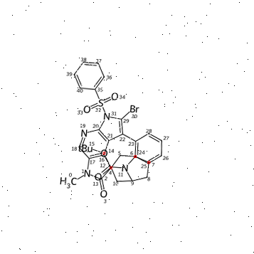 CN1C(=O)C2(CC3CCC(C2)N3C(=O)OC(C)(C)C)c2c1cnc1c2c(-c2ccccc2)c(Br)n1S(=O)(=O)c1ccccc1